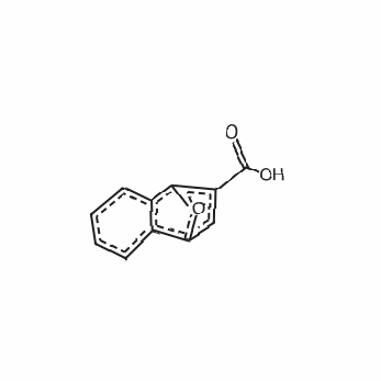 O=C(O)c1cc2oc1c1ccccc21